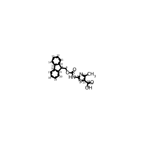 Cc1nc(NC(=O)OCC2c3ccccc3-c3ccccc32)sc1C(=O)O